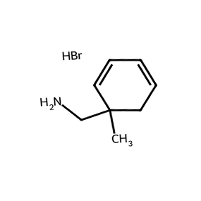 Br.CC1(CN)C=CC=CC1